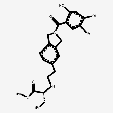 CC(C)C[C@@H](NCCc1ccc2c(c1)CN(C(=O)c1cc(C(C)C)c(O)cc1O)C2)C(=O)OC(C)(C)C